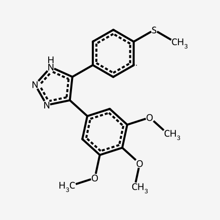 COc1cc(-c2nn[nH]c2-c2c[c]c(SC)cc2)cc(OC)c1OC